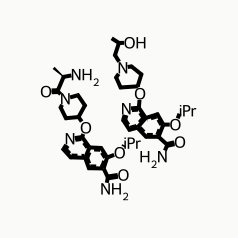 CC(C)Oc1cc2c(OC3CCN(C(=O)[C@@H](C)N)CC3)nccc2cc1C(N)=O.CC(O)CN1CCC(Oc2nccc3cc(C(N)=O)c(OC(C)C)cc23)CC1